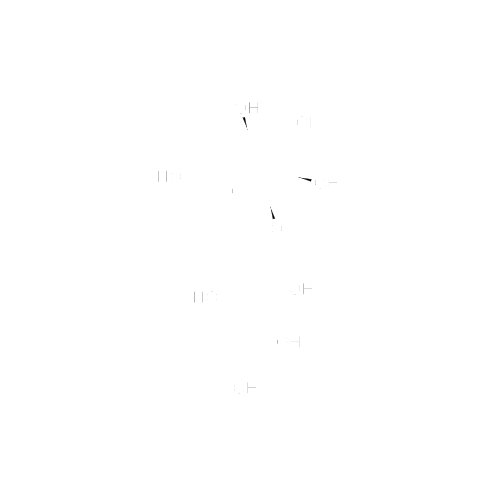 OCC(O)C(O)C(O)CO[C@H]1O[C@H](CO)[C@@H](O)[C@H](O)[C@H]1O